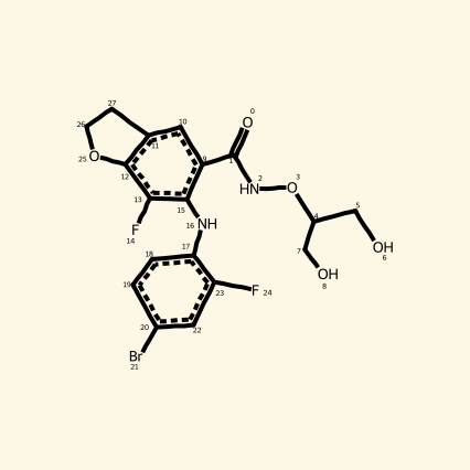 O=C(NOC(CO)CO)c1cc2c(c(F)c1Nc1ccc(Br)cc1F)OCC2